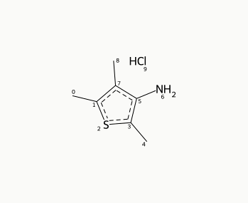 Cc1sc(C)c(N)c1C.Cl